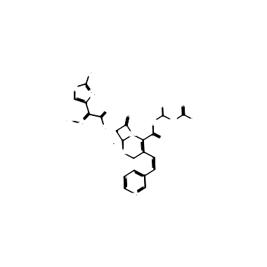 CC(=O)OC(C)OC(=O)C1=C(/C=C\c2cccnc2)CS[C@H]2[C@H](NC(=O)C(=NO)c3csc(N)n3)C(=O)N12